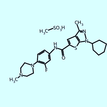 CS(=O)(=O)O.Cc1nn(C2CCCCC2)c2sc(C(=O)Nc3ccc(N4CCN(C)CC4)c(F)c3)cc12